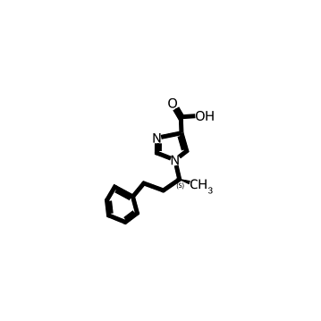 C[C@@H](CCc1ccccc1)n1cnc(C(=O)O)c1